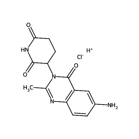 Cc1nc2ccc(N)cc2c(=O)n1C1CCC(=O)NC1=O.[Cl-].[H+]